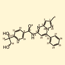 Cc1cc2nc(NC(=O)c3ccc(C(C)(O)CO)nc3)cc(-c3ccccc3)n2n1